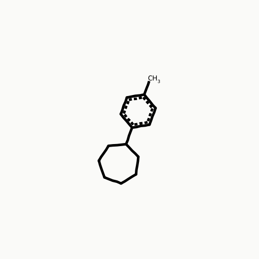 Cc1ccc(C2CCCCCC2)cc1